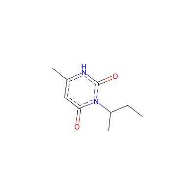 CCC(C)n1c(=O)cc(C)[nH]c1=O